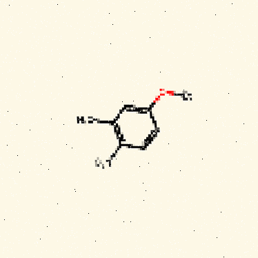 CCOc1ccc([N+](=O)[O-])c(C)c1